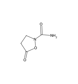 NC(=O)N1CCC(=O)O1